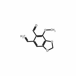 C=Cc1cc2c(c(OC)c1C=O)OCO2